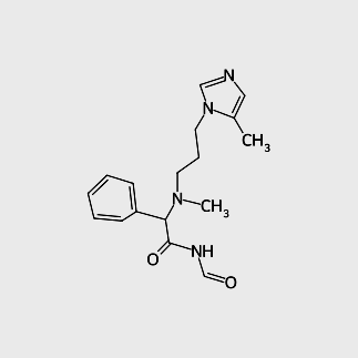 Cc1cncn1CCCN(C)C(C(=O)NC=O)c1ccccc1